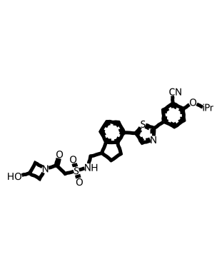 CC(C)Oc1ccc(-c2ncc(-c3cccc4c3CCC4CNS(=O)(=O)CC(=O)N3CC(O)C3)s2)cc1C#N